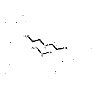 CCCNNC.NCCNCCN